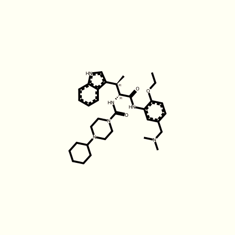 CCOc1ccc(CN(C)C)cc1NC(=O)[C@H](NC(=O)N1CCN(C2CCCCC2)CC1)[C@H](C)c1c[nH]c2ccccc12